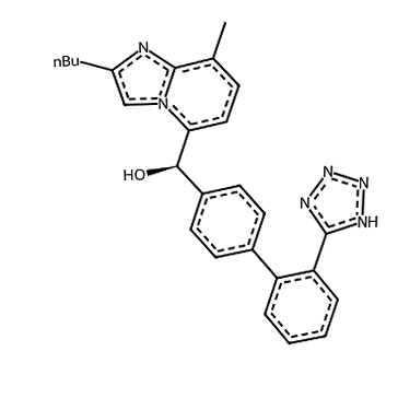 CCCCc1cn2c([C@H](O)c3ccc(-c4ccccc4-c4nnn[nH]4)cc3)ccc(C)c2n1